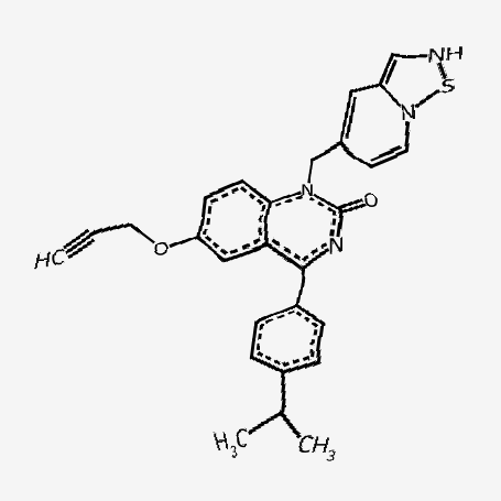 C#CCOc1ccc2c(c1)c(-c1ccc(C(C)C)cc1)nc(=O)n2CC1=CC2=CNSN2C=C1